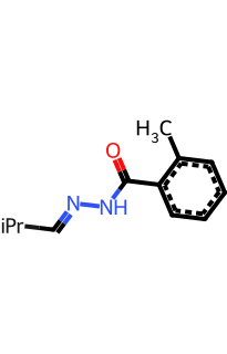 Cc1ccccc1C(=O)NN=CC(C)C